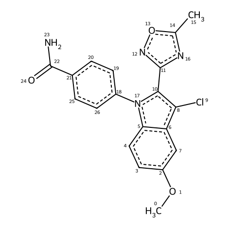 COc1ccc2c(c1)c(Cl)c(-c1noc(C)n1)n2-c1ccc(C(N)=O)cc1